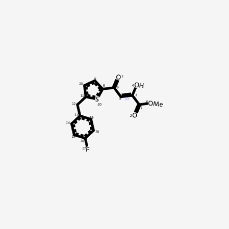 COC(=O)/C(O)=C/C(=O)c1ccc(Cc2ccc(F)cc2)s1